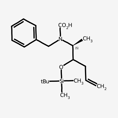 C=CCC(O[Si](C)(C)C(C)(C)C)[C@H](C)N(Cc1ccccc1)C(=O)O